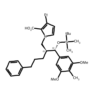 CCc1ccn(C[C@H](CCCc2ccccc2)[C@H](O[Si](C)(C)C(C)(C)C)c2cc(OC)c(C)c(OC)c2)c1C(=O)O